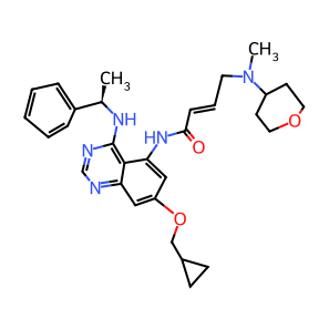 C[C@@H](Nc1ncnc2cc(OCC3CC3)cc(NC(=O)C=CCN(C)C3CCOCC3)c12)c1ccccc1